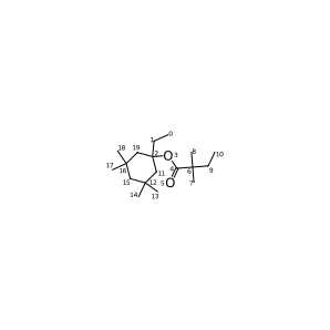 CCC1(OC(=O)C(C)(C)CC)CC(C)(C)CC(C)(C)C1